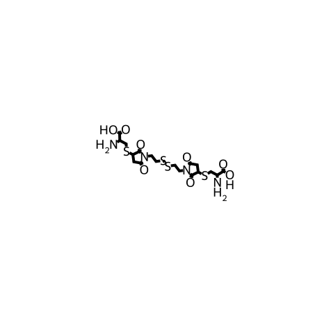 NC(CSC1CC(=O)N(CCSSCCN2C(=O)CC(SCC(N)C(=O)O)C2=O)C1=O)C(=O)O